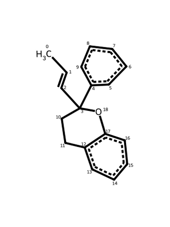 C/C=C/C1(c2ccccc2)CCc2ccccc2O1